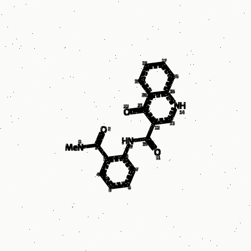 CNC(=O)c1ccccc1NC(=O)c1c[nH]c2ccccc2c1=O